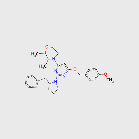 COc1ccc(COc2cc(N3CCOC(C)C3C)nc(N3CCCC3Cc3ccccc3)n2)cc1